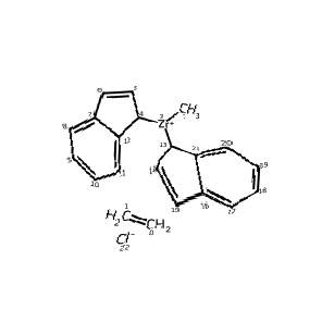 C=C.[CH3][Zr+]([CH]1C=Cc2ccccc21)[CH]1C=Cc2ccccc21.[Cl-]